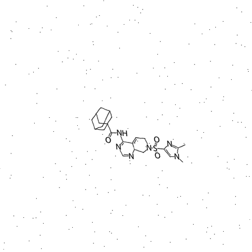 Cc1nc(S(=O)(=O)N2CC=C3C(NC(=O)C45CC6CC(CC(C6)C4)C5)=NC=NC3C2)cn1C